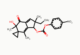 CC(=O)OCC1(C)C=C2C(=O)C(C)(O)C3(CC3)C(C)=C2C1OC(=O)Oc1ccc([N+](=O)[O-])cc1